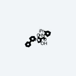 CC(C)c1ccccc1NC(=O)C1=C(O)CN(c2cccc(-c3ccccc3)c2)C1=O